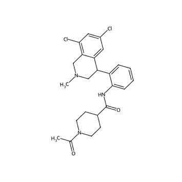 CC(=O)N1CCC(C(=O)Nc2ccccc2C2CN(C)Cc3c(Cl)cc(Cl)cc32)CC1